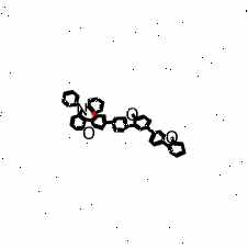 c1ccc(N(c2ccccc2)c2cccc3oc4cc(-c5ccc6c(c5)oc5ccc(-c7ccc8c(c7)oc7ccccc78)cc56)ccc4c23)cc1